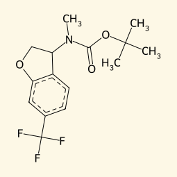 CN(C(=O)OC(C)(C)C)C1COc2cc(C(F)(F)F)ccc21